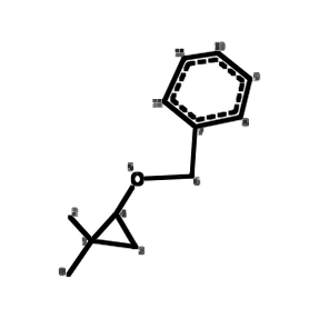 CC1(C)CC1OCc1ccccc1